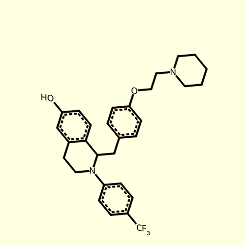 Oc1ccc2c(c1)CCN(c1ccc(C(F)(F)F)cc1)C2Cc1ccc(OCCN2CCCCC2)cc1